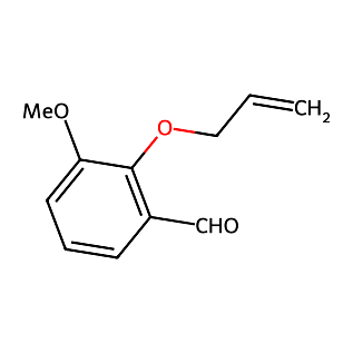 C=CCOc1c(C=O)cccc1OC